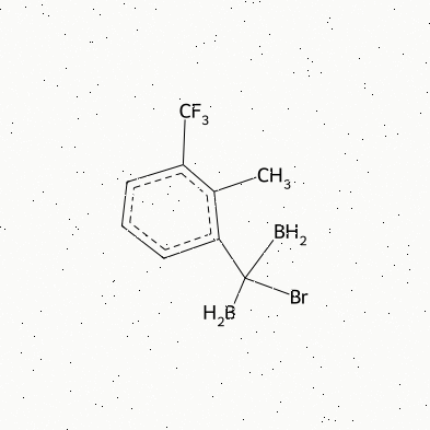 BC(B)(Br)c1cccc(C(F)(F)F)c1C